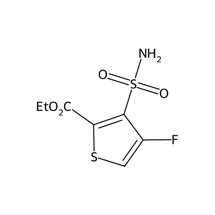 CCOC(=O)c1scc(F)c1S(N)(=O)=O